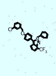 FC(F)(F)c1cccc2c(-c3ccc(OCc4cccc(Cl)c4)cc3)n(Cc3ccccc3)nc12